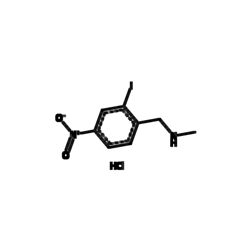 CNCc1ccc([N+](=O)[O-])cc1I.Cl